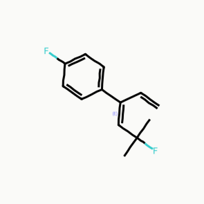 C=C/C(=C\C(C)(C)F)c1ccc(F)cc1